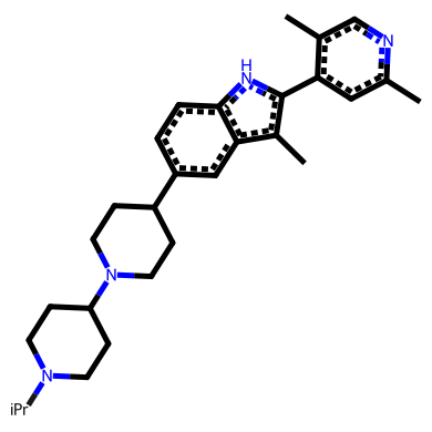 Cc1cc(-c2[nH]c3ccc(C4CCN(C5CCN(C(C)C)CC5)CC4)cc3c2C)c(C)cn1